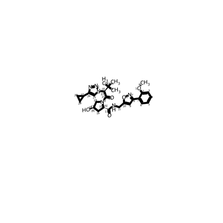 COc1ccccc1-c1cc(CNC(=O)[C@@H]2C[C@@H](O)CN2C(=O)[C@@H](n2cc(C3CC3)nn2)C(C)(C)C)on1